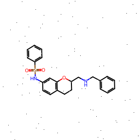 O=S(=O)(Nc1ccc2c(c1)OC(CNCc1ccccc1)CC2)c1ccccc1